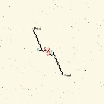 CCCCCC=CCC=CCC=CCC=CCC(CF)CC(=O)OC(=O)OC(=O)CC(CF)CC=CCC=CCC=CCC=CCCCCC